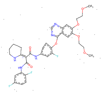 COCCOc1cc2ncnc(Oc3ccc(NC(=O)/C(C(=O)Nc4cc(F)ccc4F)=C4\CCCCN4)cc3F)c2cc1OCCOC